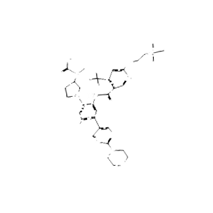 CN(C(=O)O)C1CCN(c2cc(F)c(-c3cnc(N4CCOCC4)nc3)cc2NC(=O)c2cnc(OCC[Si](C)(C)C)cc2C(F)(F)F)C1